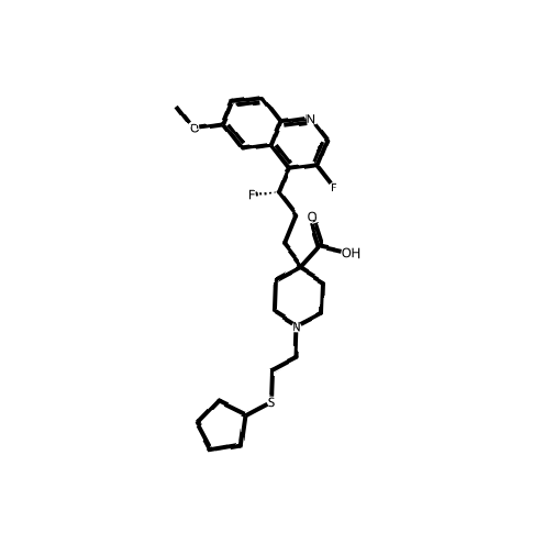 COc1ccc2ncc(F)c([C@@H](F)CCC3(C(=O)O)CCN(CCSC4CCCC4)CC3)c2c1